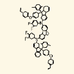 C=CC1=CCC(OC2=CCC(C3(C4CC(C)=CC=C4C)C4=C(C=CCC4)C4=C3CC(N(C3=CC5C(C=C3)OC3C=CC(N(C6=CC=C(F)C(F)C6)C6C=CC7C8C=CCCC8C(C8=C(C)CCC(C)=C8)(C8C=CC(OC9=CCC(C=C)C=C9)=CC8)C7C6)=CC35)C3CCC(F)=C(F)C3)C=C4)C=C2)C=C1